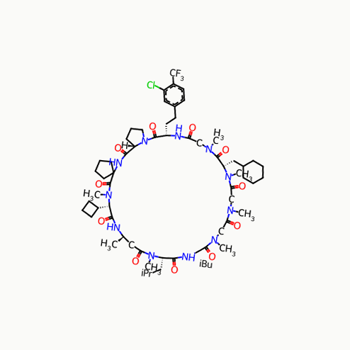 CC[C@H](C)[C@@H]1NC(=O)[C@H](CC(C)C)N(C)C(=O)C[C@@H](C)NC(=O)[C@H](C2CCC2)N(C)C(=O)C2(CCCC2)NC(=O)[C@@H]2CCCN2C(=O)[C@H](CCc2ccc(C(F)(F)F)c(Cl)c2)NC(=O)CN(C)C(=O)[C@H](CC2CCCCC2)N(C)C(=O)CN(C)C(=O)CN(C)C1=O